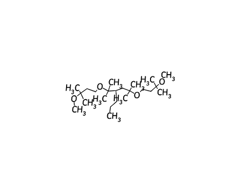 CCCC(CC(C)(C)OCCC(C)(C)OC)C(C)(C)OCCC(C)(C)OC